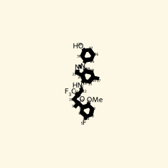 COc1ccc(F)cc1C1(C)CC(CNc2cc(C)cc3c2cnn3-c2cccc(O)c2)(C(F)(F)F)O1